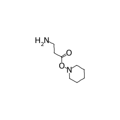 NCCC(=O)ON1CCCCC1